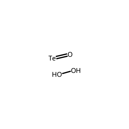 O=[Te].OO